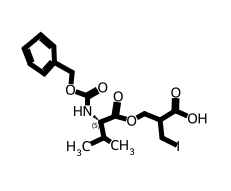 CC(C)[C@H](NC(=O)OCc1ccccc1)C(=O)OCC(CI)C(=O)O